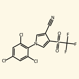 N#Cc1cn(-c2c(Cl)cc(Cl)cc2Cl)cc1S(=O)(=O)C(F)(F)F